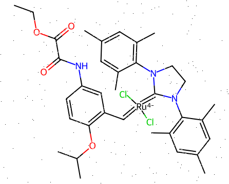 CCOC(=O)C(=O)Nc1ccc(OC(C)C)c([CH]=[Ru-4]([Cl])([Cl])=[C]2N(c3c(C)cc(C)cc3C)CCN2c2c(C)cc(C)cc2C)c1